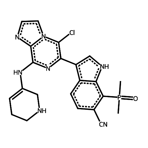 CP(C)(=O)c1c(C#N)ccc2c(-c3nc(NC4=CCCNC4)c4nccn4c3Cl)c[nH]c12